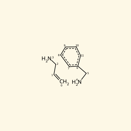 C=CCN.NCc1ccccc1